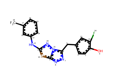 Oc1ccc(Cc2nnc3sc(Nc4cccc(C(F)(F)F)c4)nn23)cc1F